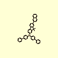 CC1(C)c2cc(-c3ccc4ccccc4c3)ccc2-c2ccc(N(c3ccc(-c4ccccc4)cc3)c3ccc(-c4ccccc4)cc3)cc21